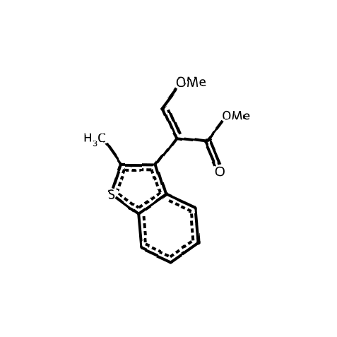 COC=C(C(=O)OC)c1c(C)sc2ccccc12